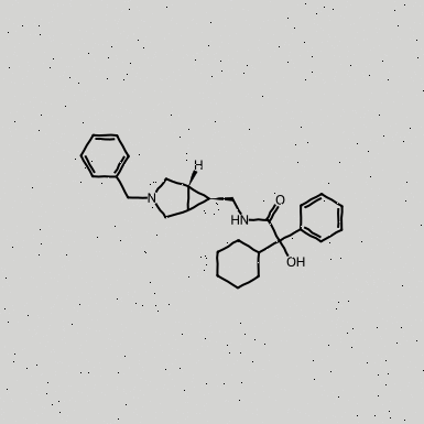 O=C(NC[C@H]1C2CN(Cc3ccccc3)C[C@@H]21)C(O)(c1ccccc1)C1CCCCC1